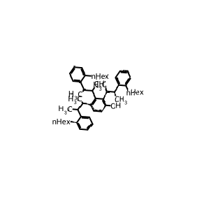 CCCCCCc1ccccc1C(C)C(C)c1ccc(O)c(C(C)C(C)c2ccccc2CCCCCC)c1C(C)C(C)c1ccccc1CCCCCC